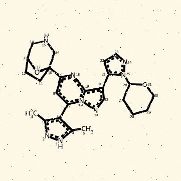 Cc1n[nH]c(C)c1-c1cc(C23CCC(CNC2)O3)nc2c(-c3ccnn3C3CCCCO3)cnn12